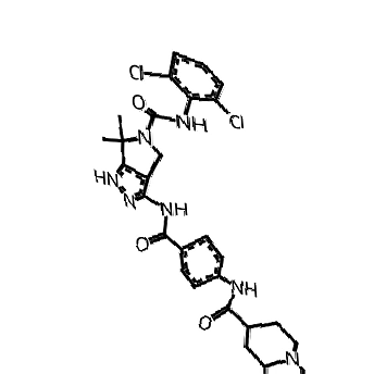 CN1CCC(C(=O)Nc2ccc(C(=O)Nc3n[nH]c4c3CN(C(=O)Nc3c(Cl)cccc3Cl)C4(C)C)cc2)CC1